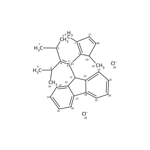 CC1=[C]([Ti+2](=[C](C(C)C)C(C)C)[CH]2c3ccccc3-c3ccccc32)C(C)C=C1.[Cl-].[Cl-]